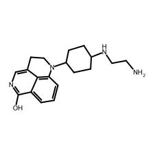 NCCNC1CCC(N2CCc3cnc(O)c4cccc2c34)CC1